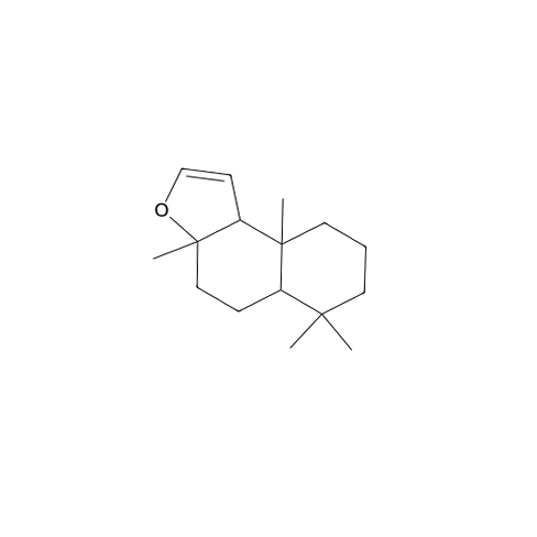 CC1(C)CCCC2(C)C1CCC1(C)OC=CC12